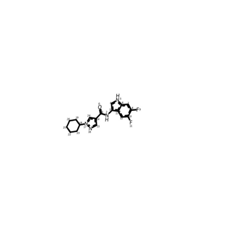 O=C(Nc1c[nH]c2cc(F)c(F)cc12)c1cnn(C2CCCCC2)c1